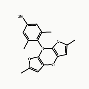 Cc1cc2c(o1)N(c1c(C)cc(C(C)(C)C)cc1C)c1oc(C)cc1O2